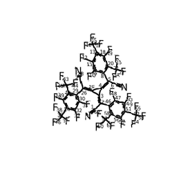 N#CC(=C1C(=C(C#N)c2c(F)c(F)c(C(F)(F)F)c(F)c2C(F)(F)F)C1=C(C#N)c1c(F)c(F)c(C(F)(F)F)c(F)c1C(F)(F)F)c1c(F)c(F)c(C(F)(F)F)c(F)c1C(F)(F)F